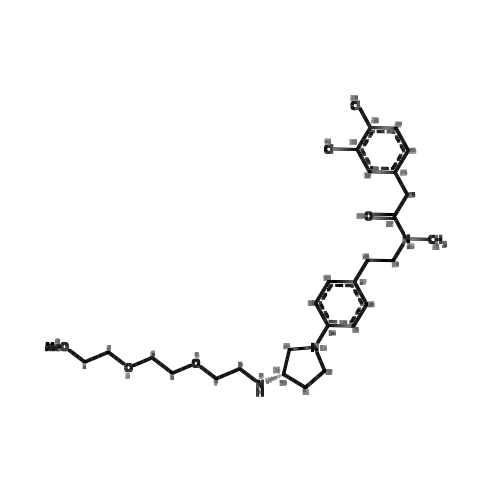 COCCOCCOCCN[C@H]1CCN(c2ccc(CCN(C)C(=O)Cc3ccc(Cl)c(Cl)c3)cc2)C1